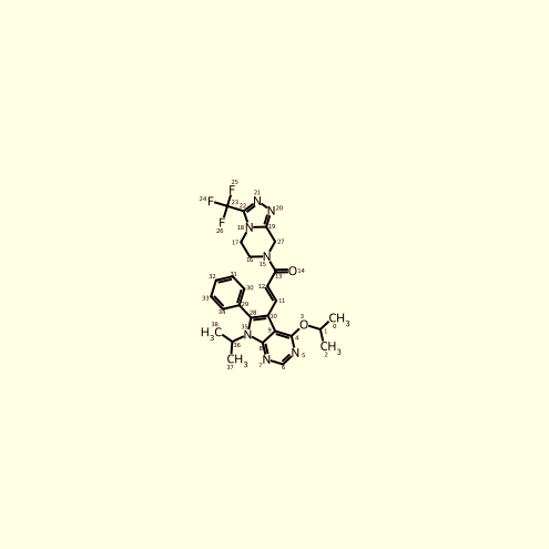 CC(C)Oc1ncnc2c1c(/C=C/C(=O)N1CCn3c(nnc3C(F)(F)F)C1)c(-c1ccccc1)n2C(C)C